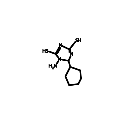 NN1C(S)=NC(S)=NC1C1CCCCC1